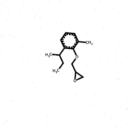 CCC(C)c1cccc(C)c1OCC1CO1